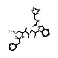 CC(C)(C)OCC(NC(=O)Cc1ccccc1)C(=O)NCC(=O)N1c2ccccc2C[C@H]1C(=O)NCc1nn[nH]n1